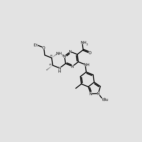 CCOC[C@H](N)[C@@H](C)Nc1nnc(C(N)=O)c(Nc2cc(C)c3nn(C(C)(C)C)cc3c2)n1